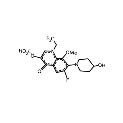 COc1c(N2CCC(O)CC2)c(F)cc2c(=O)c(OC(=O)O)cn(CC(F)(F)F)c12